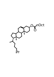 CCCCCCCCC(=O)O[C@H]1CC[C@@]2(C)C(=CCC3C2CC[C@@]2(C)C3CC[C@@H]2C(C)CCCC(C)C)C1